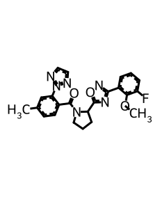 COc1c(F)cccc1-c1noc(C2CCCN2C(=O)c2ccc(C)cc2-n2nccn2)n1